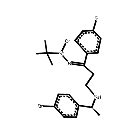 C[C@H](NCC/C(=N/[S+]([O-])C(C)(C)C)c1ccc(F)cc1)c1ccc(Br)cc1